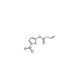 C=CCC(=O)Oc1ccc([N+](=O)[O-])s1